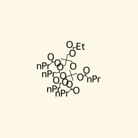 CCCC(=O)OCC(COCC(COC(=O)CCC)(COC(=O)CCC)COC(=O)CCC)(COC(=O)CC)COC(=O)CCC